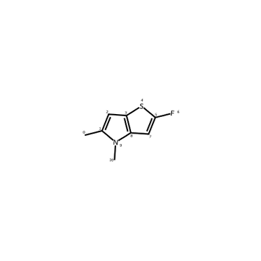 Cc1cc2sc(F)cc2n1C